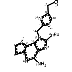 CCCCc1nc2c(N)nc3ccsc3c2n1Cc1nc(CCl)cs1